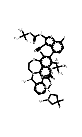 C[C@H](c1cccnc1NC(=O)OC(C)(C)C)N1CCOc2c(Cl)c(-c3ccc(F)c4sc(NC(=O)OC(C)(C)C)c(C#N)c34)c(F)c3nc(OC[C@@H]4CC(F)(F)CN4C)nc1c23